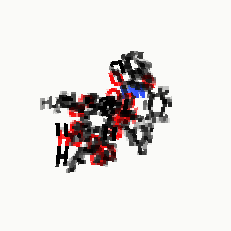 CO[C@H](C(=O)O[C@@H]1CC2(O)[C@H](OC(=O)c3ccccc3)[C@@H]3C(C)(C(=O)C(OC(C)=O)C(=C1C)C2(C)C)C(O)CC1OC[C@@]13OC(C)=O)[C@H](NC(=O)c1ccccc1)c1ccccc1